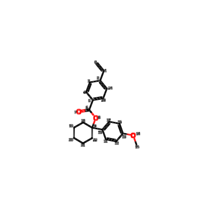 C=Cc1ccc(C(=O)OC2(c3ccc(OC)cc3)CCCCC2)cc1